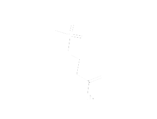 C=C(C#N)CCOS(C)(=O)=O